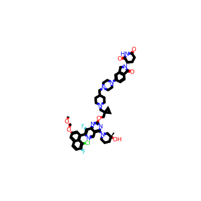 COCOc1cc(-c2ncc3c(N4CCC[C@@](C)(O)C4)nc(OCC4(CN5CCC(CN6CCN(c7ccc8c(c7)CN([C@H]7CCC(=O)NC7=O)C8=O)CC6)CC5)CC4)nc3c2F)c2c(Cl)c(F)ccc2c1